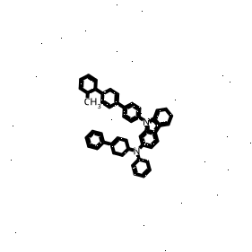 CC1C=CC=CC1C1C=CC(c2ccc(-n3c4c(c5ccc(N(C6C=CC=CC6)C6CC=C(c7ccccc7)CC6)cc53)=CCCC=4)cc2)=CC1